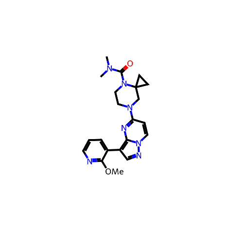 COc1ncccc1-c1cnn2ccc(N3CCN(C(=O)N(C)C)C4(CC4)C3)nc12